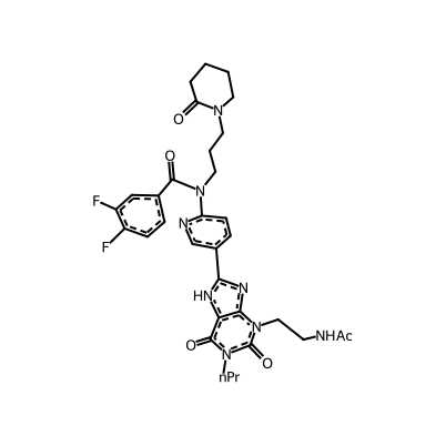 CCCn1c(=O)c2[nH]c(-c3ccc(N(CCCN4CCCCC4=O)C(=O)c4ccc(F)c(F)c4)nc3)nc2n(CCNC(C)=O)c1=O